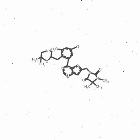 Cc1cc(Cl)cc(-c2ncnc3cc(CN4C(=O)N(C)C(C)(C)C4=O)sc23)c1CC1CNCC(C)(C)O1